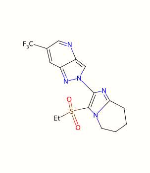 CCS(=O)(=O)c1c(-n2cc3ncc(C(F)(F)F)cc3n2)nc2n1CCCC2